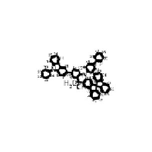 CC1(C)c2cc(-c3ccc4c(c3)c3ccccc3n4-c3ccccc3)ccc2N(c2ccc(-c3ccccc3)cc2)c2cc3c(cc21)-c1ccccc1C31c2ccccc2-c2ccccc21